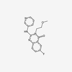 COCCn1c(Nc2cccnc2)nc2ccc(F)cc2c1=O